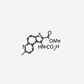 COC(=O)c1sc2ccc3nc(C)ccc3c2c1NC(=O)O